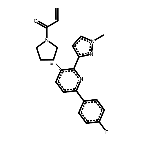 C=CC(=O)N1CC[C@@H](c2ccc(-c3ccc(F)cc3)nc2-c2ccn(C)n2)C1